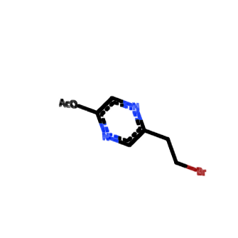 CC(=O)Oc1cnc(CCBr)cn1